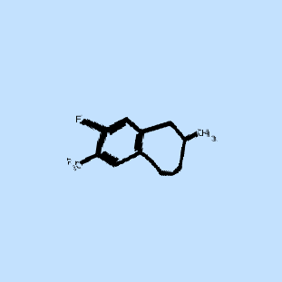 CC1CCc2cc(C(F)(F)F)c(F)cc2C1